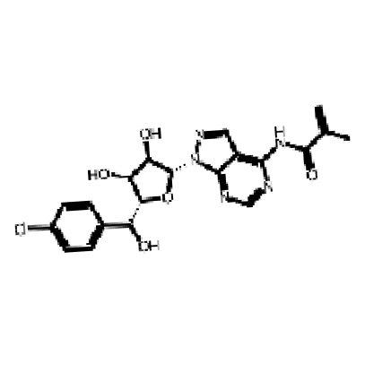 C=C(C)C(=O)Nc1ncnc2c1cnn2[C@@H]1O[C@H](C(O)c2ccc(Cl)cc2)[C@@H](O)[C@H]1O